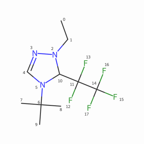 CCN1N=CN(C(C)(C)C)C1C(F)(F)C(F)(F)F